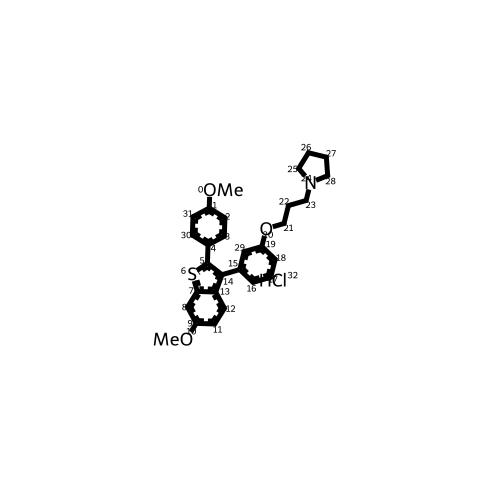 COc1ccc(-c2sc3cc(OC)ccc3c2-c2cccc(OCCCN3CCCC3)c2)cc1.Cl